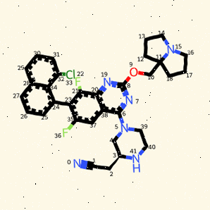 N#CC[C@H]1CN(c2nc(OCC34CCCN3CCC4)nc3c(F)c(-c4cccc5cccc(Cl)c45)c(F)cc23)CCN1